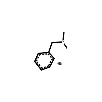 Br.CP(C)Cc1ccccc1